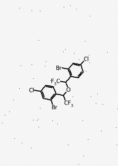 FC(F)(F)C(OC(c1ccc(Cl)cc1Br)C(F)(F)F)c1ccc(Cl)cc1Br